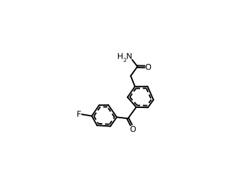 NC(=O)Cc1cccc(C(=O)c2ccc(F)cc2)c1